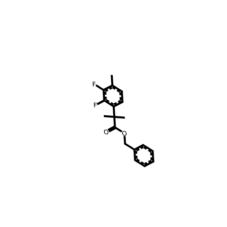 Cc1ccc(C(C)(C)C(=O)OCc2ccccc2)c(F)c1F